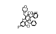 O=C(O)N1C(c2ccccn2)=NC(Cc2ccccc2)(c2ccc(F)cc2Cl)C(I)=C1CN1CCOCC1